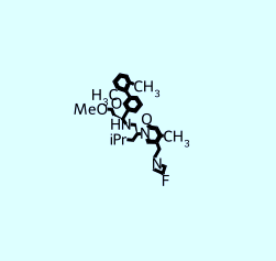 COC(=O)C[C@H](NC[C@H](CC(C)C)n1cc(CCN2CC(F)C2)c(C)cc1=O)c1cccc(-c2c(C)cccc2C)c1